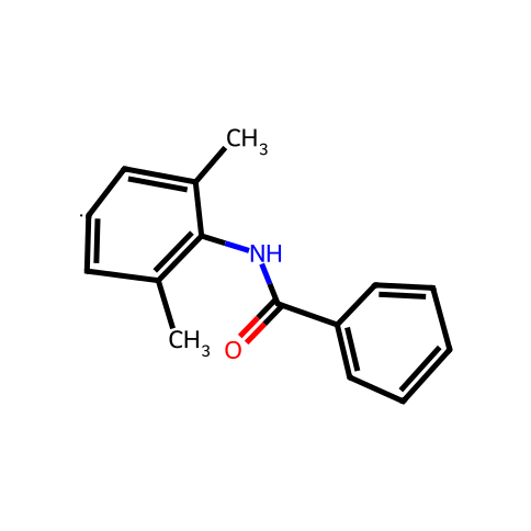 Cc1c[c]cc(C)c1NC(=O)c1ccccc1